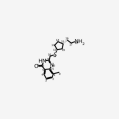 Cc1cccc2c(=O)[nH]c(CS[C@H]3CC[C@H](CCN)C3)nc12